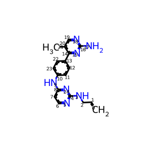 C=CCNc1nccc(Nc2ccc(-c3nc(N)ncc3C)cc2)n1